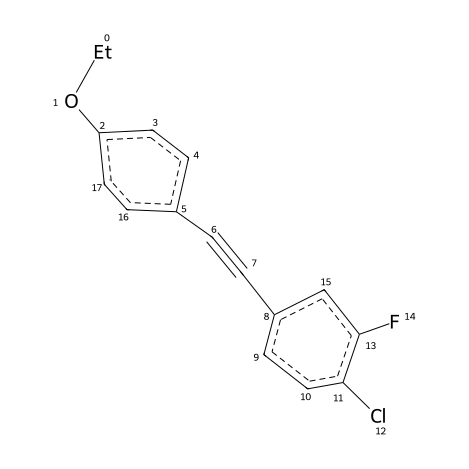 CCOc1ccc(C#Cc2ccc(Cl)c(F)c2)cc1